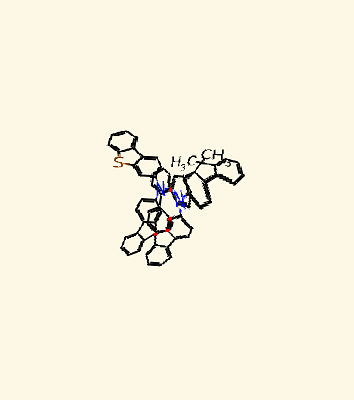 CC1(C)c2ccccc2-c2ccc(N(c3ccc4c(c3)C3(c5ccccc5-c5ccc(N(c6ccccc6)c6ccc7c(c6)sc6ccccc67)cc53)c3ccccc3-4)c3ccccc3-c3ccccc3)cc21